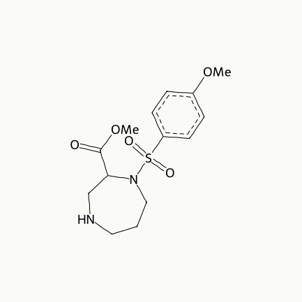 COC(=O)C1CNCCCN1S(=O)(=O)c1ccc(OC)cc1